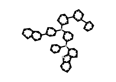 c1ccc(-c2cccc(-c3cccc(N(c4ccc(-c5ccc6ccccc6c5)cc4)c4cccc(N(c5ccccc5)c5cccc6c5oc5ccccc56)c4)c3)c2)cc1